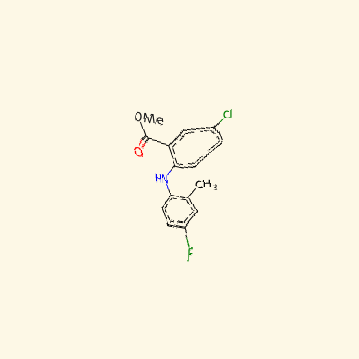 COC(=O)c1cc(Cl)ccc1Nc1ccc(F)cc1C